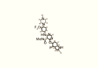 CNC(=O)c1c(Nc2ccc(N3CCN(C)CC3)c(C(F)(F)F)c2)ncnc1Oc1ccc2[nH]c(C)cc2c1F